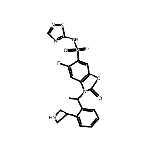 CC(c1ccccc1C1CNC1)n1c(=O)oc2cc(S(=O)(=O)Nc3ncns3)c(F)cc21